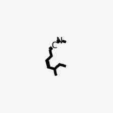 CCC(C)/C=C\CC=C=NC